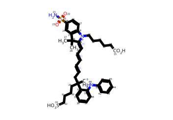 CC(C/C=C/C=C/C=C1/N(CCCCCC(=O)O)c2ccc(S(N)(=O)=O)cc2C1(C)C)(CCCCS(=O)(=O)O)c1ccccc1Nc1ccccc1